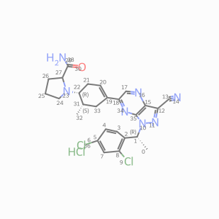 C[C@H](c1ccc(Cl)cc1Cl)n1nc(C#N)c2ncc(C3=CC[C@@H](N4CCCC4C(N)=O)[C@@H](C)C3)nc21.Cl